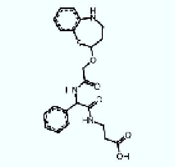 O=C(O)CCNC(=O)[C@H](NC(=O)COC1CCNc2ccccc2S1)c1ccccc1